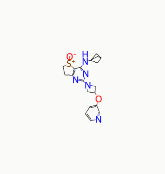 [O-][S@+]1CCc2nc(N3CC(Oc4cccnc4)C3)nc(NC34CC(C3)C4)c21